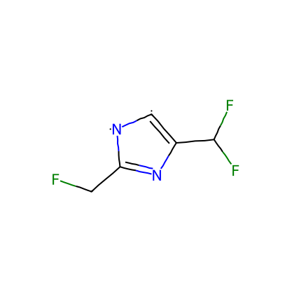 FCC1=NC(C(F)F)=[C][N]1